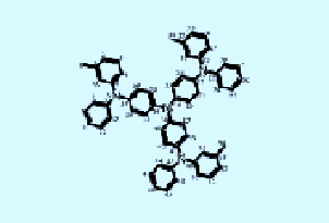 Cc1cccc(N(c2ccccc2)c2ccc(N(C3=CCC(N(c4ccccc4)c4cccc(C)c4)C=C3)c3ccc(N(c4ccccc4)c4cccc(C)c4)cc3)cc2)c1